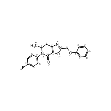 CC1Cc2nc(COc3ccccc3)oc2C(=O)N1c1ccc(F)cc1